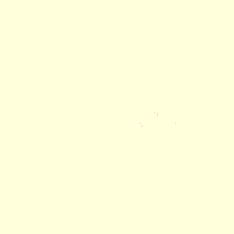 CC(C)n1nc(C(=O)C(=O)c2ccccc2)ccc1=O